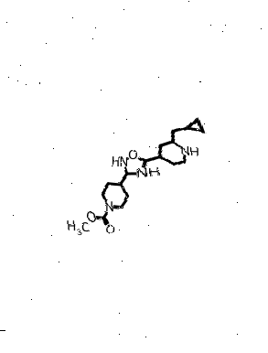 COC(=O)N1CCC(C2NOC(C3CCNC(CC4CC4)C3)N2)CC1